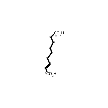 O=C(O)C=CCCCCCC(=O)O